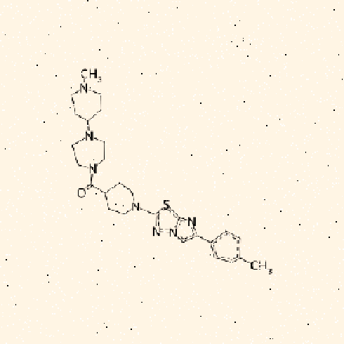 Cc1ccc(-c2cn3nc(N4CCC(C(=O)N5CCN(C6CCN(C)CC6)CC5)CC4)sc3n2)cc1